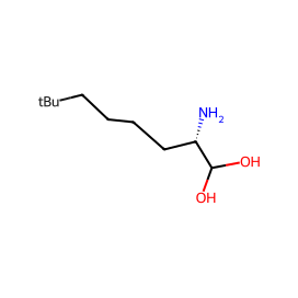 CC(C)(C)CCCC[C@H](N)C(O)O